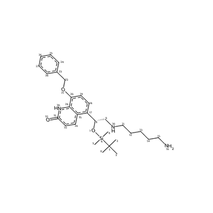 CC(C)(C)[Si](C)(C)O[C@@H](CNCCCCCN)c1ccc(OCc2ccccc2)c2[nH]c(=O)ccc12